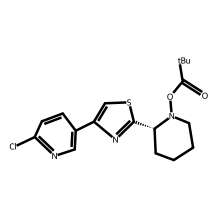 CC(C)(C)C(=O)ON1CCCC[C@@H]1c1nc(-c2ccc(Cl)nc2)cs1